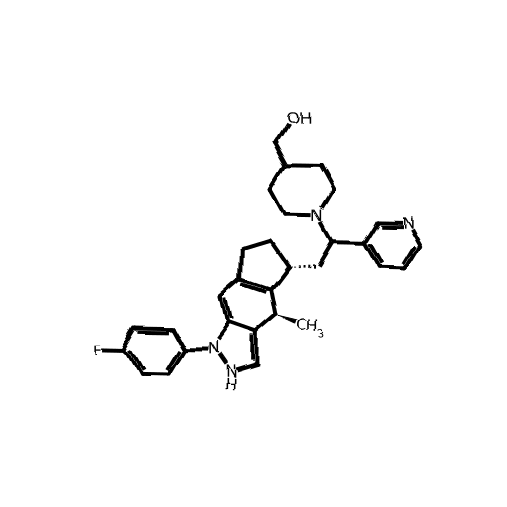 C[C@H]1C2=CNN(c3ccc(F)cc3)C2=CC2=C1[C@@H](CC(c1cccnc1)N1CCC(CO)CC1)CC2